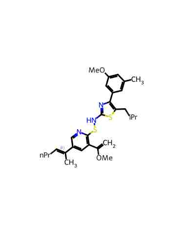 C=C(OC)c1cc(/C(C)=C/CCC)cnc1SNc1nc(-c2cc(C)cc(OC)c2)c(CC(C)C)s1